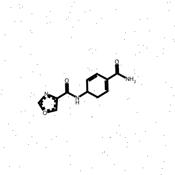 NC(=O)C1=CCC(NC(=O)c2cocn2)C=C1